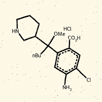 CCCCC(OC)(c1cc(N)c(Cl)cc1C(=O)O)C1CCCNC1.Cl